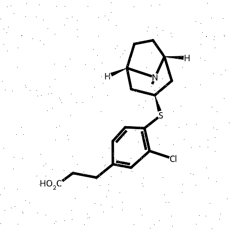 CN1[C@@H]2CC[C@H]1C[C@H](Sc1ccc(CCC(=O)O)cc1Cl)C2